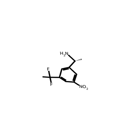 C[C@@H](N)c1cc([N+](=O)[O-])cc(C(C)(F)F)c1